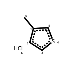 Cc1ccsc1.Cl